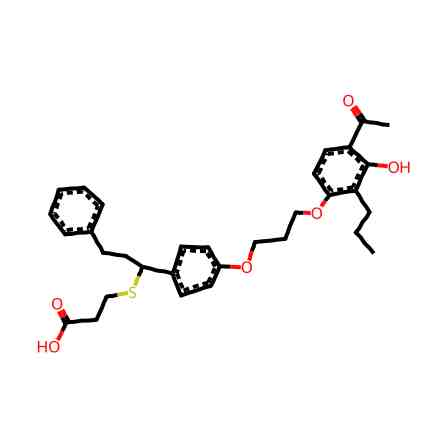 CCCc1c(OCCCOc2ccc(C(CCc3ccccc3)SCCC(=O)O)cc2)ccc(C(C)=O)c1O